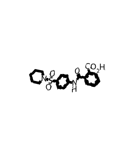 O=C(O)c1ccccc1C(=O)Nc1ccc(S(=O)(=O)N2CCCCC2)cc1